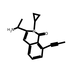 CC#Cc1cccc2cc(C(C)N)n(C3CC3)c(=O)c12